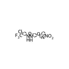 O=C(Nc1ccc(Oc2ccnc3c([N+](=O)[O-])cccc23)cc1)Nc1ccc(Cl)c(C(F)(F)F)c1